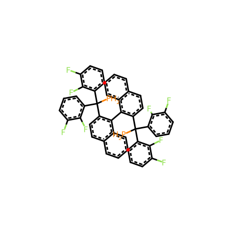 Fc1cccc(C(P)(c2cccc(F)c2F)c2ccc3ccccc3c2-c2c(C(P)(c3cccc(F)c3F)c3cccc(F)c3F)ccc3ccccc23)c1F